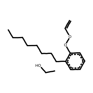 C=COOc1ccccc1CCCCCCCC.CCO